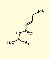 CC(C)NC(=O)/C=C/CN